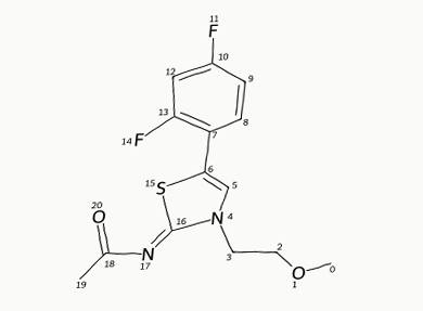 COCCn1cc(-c2ccc(F)cc2F)s/c1=N\C(C)=O